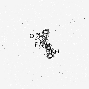 O=[N+]([O-])c1ccc2c(C(O)(CN3CCC4(CC3)CNc3ccccc3O4)C(F)(F)F)cn(Cc3ccccc3)c2c1